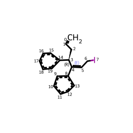 C=CC[C@@H](/C(=C\CI)c1ccccc1)c1ccccc1